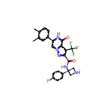 Cc1ccc(-c2cn3nc(C(=O)NC4(c5ccc(F)cc5)CNC4)c(C(F)(F)F)c3c(=O)[nH]2)cc1C